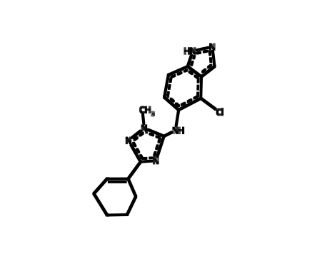 Cn1nc(C2=CCCCC2)nc1Nc1ccc2[nH]ncc2c1Cl